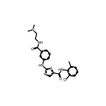 Cc1cccc(Cl)c1NC(=O)c1cnc(Nc2cccc(C(=O)NCCN(C)C)c2)s1